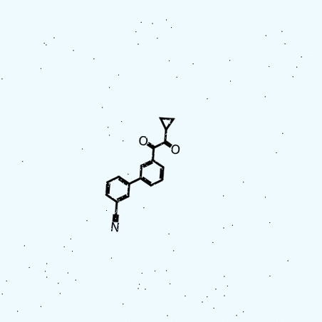 N#Cc1cccc(-c2cccc(C(=O)C(=O)C3CC3)c2)c1